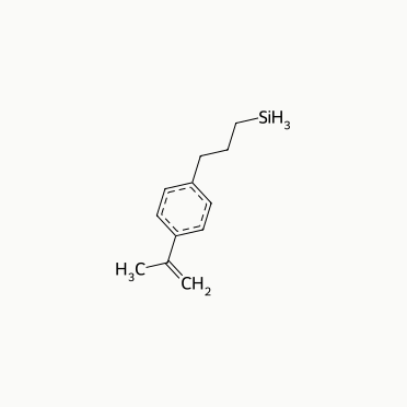 C=C(C)c1ccc(CCC[SiH3])cc1